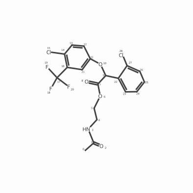 CC(=O)NCCOC(=O)C(Oc1ccc(Cl)c(C(F)(F)F)c1)c1ccccc1Cl